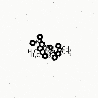 CC1C=C2c3c(c4ccccc4n3-c3ccccc3)C=C3c4ccc5c(c4)N(c4cccc6c4C(C)C(=C1C6C)C32C)P(=O)(c1ccccc1)N5c1cccc2c1-c1ccccc1C2(C)C